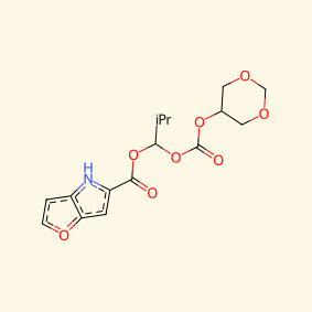 CC(C)C(OC(=O)OC1COCOC1)OC(=O)c1cc2occc2[nH]1